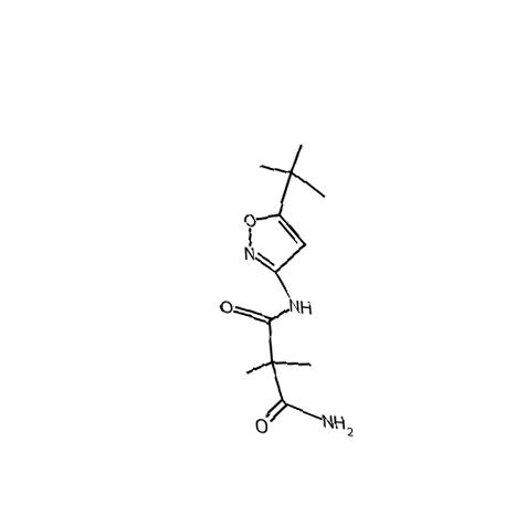 CC(C)(C(N)=O)C(=O)Nc1cc(C(C)(C)C)on1